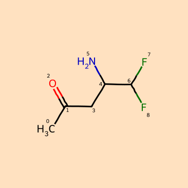 CC(=O)CC(N)C(F)F